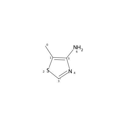 Cc1s[c]nc1N